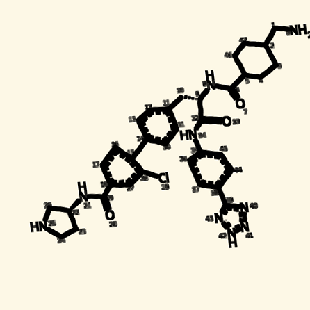 NCC1CCC(C(=O)N[C@@H](Cc2ccc(-c3ccc(C(=O)N[C@H]4CCNC4)cc3Cl)cc2)C(=O)Nc2ccc(-c3nn[nH]n3)cc2)CC1